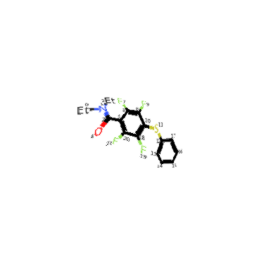 CCN(CC)C(=O)c1c(F)c(F)c(Sc2ccccc2)c(F)c1F